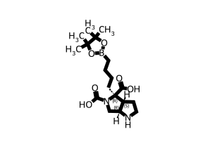 CC1(C)OB(CCCC[C@]2(C(=O)O)[C@H]3CCN[C@H]3CN2C(=O)O)OC1(C)C